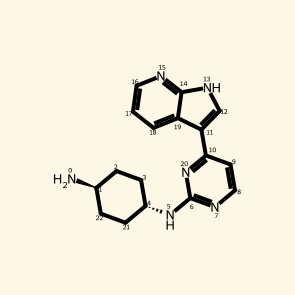 N[C@H]1CC[C@H](Nc2nccc(-c3c[nH]c4ncccc34)n2)CC1